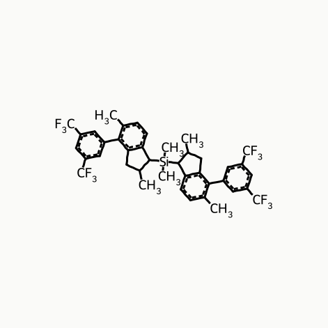 Cc1ccc2c(c1-c1cc(C(F)(F)F)cc(C(F)(F)F)c1)CC(C)C2[Si](C)(C)C1c2ccc(C)c(-c3cc(C(F)(F)F)cc(C(F)(F)F)c3)c2CC1C